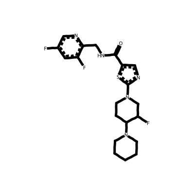 O=C(NCc1ncc(F)cc1F)c1cnc(N2CCC(N3CCCCC3)C(F)C2)s1